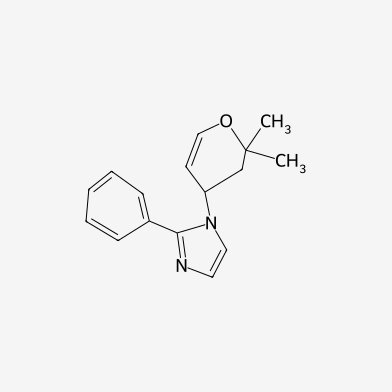 CC1(C)CC(n2ccnc2-c2ccccc2)C=CO1